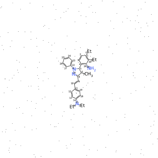 CCc1ccc(C2C(C)C(C=Cc3ccc(N(CC)CC)cc3)=NN2c2ccccc2)c(N)c1CC